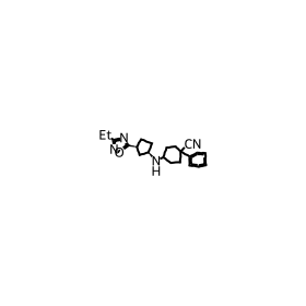 CCc1noc([C@H]2CC[C@@H](NC3CCC(C#N)(c4ccccc4)CC3)C2)n1